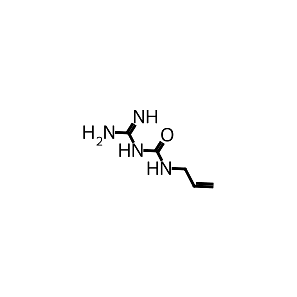 C=CCNC(=O)NC(=N)N